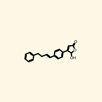 O=C1C=C(c2ccc(/C=C/CCc3ccccc3)cc2)C(O)O1